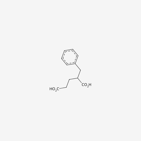 O=C(O)CCC(Cc1ccccc1)C(=O)O